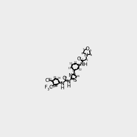 O=C(CN1CCOCC1)Nc1cccc(-c2csc(NC(=O)Nc3ccc(Cl)c(C(F)(F)F)c3)n2)c1